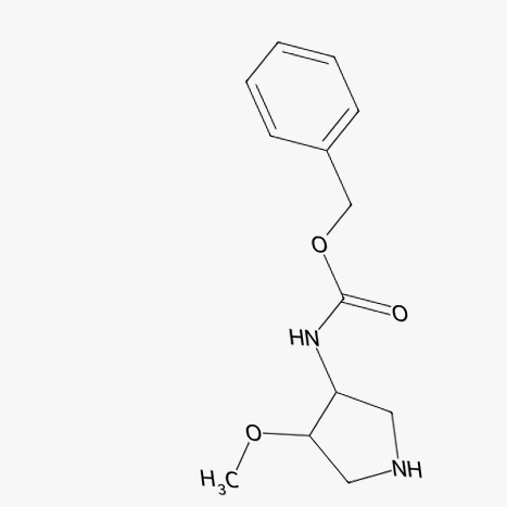 COC1CNCC1NC(=O)OCc1ccccc1